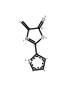 C=C1N=C(c2cccs2)OC1=O